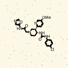 COc1ccc([C@@H]2CN(CC(=O)Nc3cnco3)CC[C@H]2NC(=O)Nc2ccc(Cl)cc2)nc1